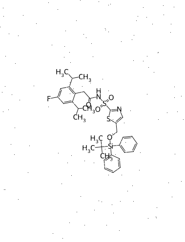 CC(C)c1cc(F)cc(C(C)C)c1CC(=O)NS(=O)(=O)c1ncc(CO[Si](c2ccccc2)(c2ccccc2)C(C)(C)C)s1